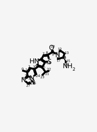 Cc1cc(-c2[nH]c3cc(C(=O)N4CC[C@@H](CN)C4)sc3c2C(C)C)cn2ncnc12